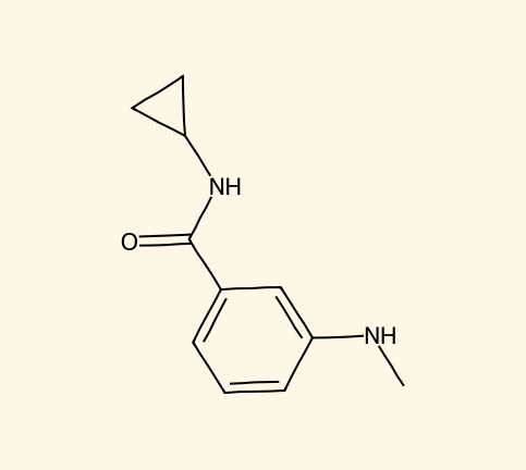 CNc1cccc(C(=O)NC2CC2)c1